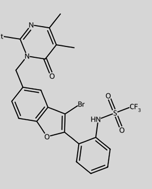 CCc1nc(C)c(C)c(=O)n1Cc1ccc2oc(-c3ccccc3NS(=O)(=O)C(F)(F)F)c(Br)c2c1